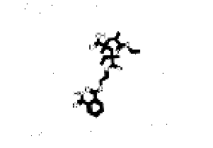 CCOC(=O)C(C)CC(C)(CC(C)(CC)C(=O)OCCOC(=O)c1ccccc1C(=O)O)C(=O)O